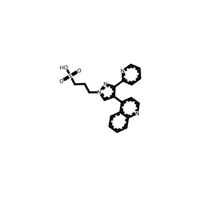 O=S(=O)(O)CCCn1cc(-c2ccnc3ccccc23)c(-c2ccccn2)n1